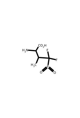 CC(C(N)C(=O)O)C(F)(F)P(=O)=O